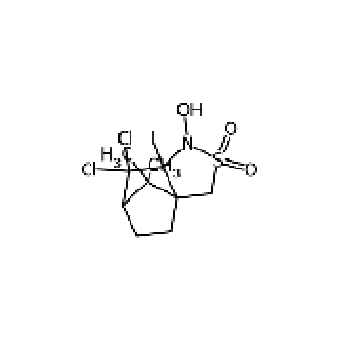 CC1(C)C2CCC13CS(=O)(=O)N(O)C3(I)C2(Cl)Cl